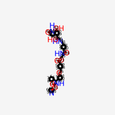 O=C(N[C@@H](c1ccccc1)c1cccc(OCc2ccc(C(=O)OCCNC(=O)c3ccc(CNCC(O)c4ccc(O)c5[nH]c(=O)ccc45)cc3)cc2)c1)OC1CN2CCC1CC2